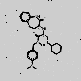 CN(C)c1ccc(CN(O)C(=O)[C@H](CCC2CCCCC2)N[C@H]2CCc3ccccc3NC2=O)cc1